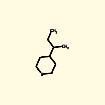 CCC(C)C1CCSCC1